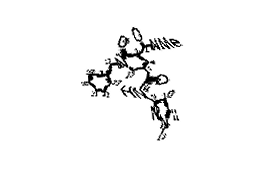 CNC(=O)c1cc(C(=O)Nc2ccn(C)n2)cn(Cc2ccccc2)c1=O